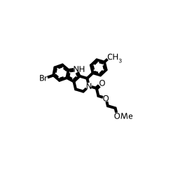 COCCOCC(=O)N1CCc2c([nH]c3ccc(Br)cc23)C1c1ccc(C)cc1